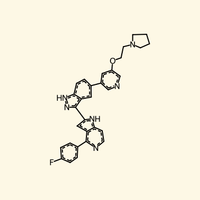 Fc1ccc(-c2nccc3[nH]c(-c4n[nH]c5ccc(-c6cncc(OCCN7CCCC7)c6)cc45)cc23)cc1